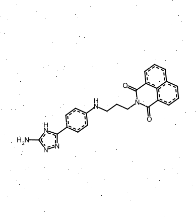 Nc1nnc(-c2ccc(NCCCN3C(=O)c4cccc5cccc(c45)C3=O)cc2)[nH]1